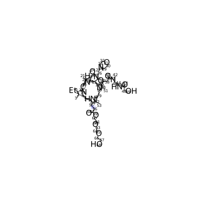 CCC1=C(C)c2cc3[nH]c(cc4nc(c5c6[nH]c(cc1n2)c(C)c6C(=O)N(CCN1CCOCC1)C5=O)[C@@H](CCC(=O)N(C)CCNC(=O)CO)[C@@H]4C)c(C)c3/C=C/C(=O)OCCOCCOCCO